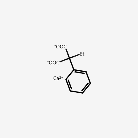 CCC(C(=O)[O-])(C(=O)[O-])c1ccccc1.[Ca+2]